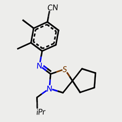 Cc1c(C#N)ccc(N=C2SC3(CCCC3)CN2CC(C)C)c1C